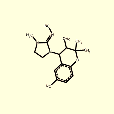 CC(=O)OC1C(N2CCN(C)C2=NC#N)c2cc(C#N)ccc2OC1(C)C